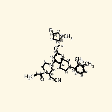 C=CC(=O)N1CCN(c2nc(OC[C@@H]3C[C@@H](F)CN3C)nc3c2CCN(c2cccc(C)c2C)C3)CC1CC#N